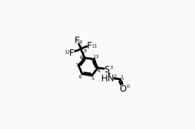 O=[C]NSc1cccc(C(F)(F)F)c1